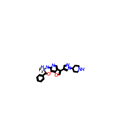 Nc1ncc2c(-c3cnn(C4CCNCC4)c3)coc2c1O[C@@H](c1ccccc1)C(F)(F)F